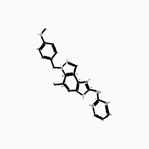 COc1ccc(Cn2ncc3c4nc(Nc5ncccn5)sc4cc(C)c32)cc1